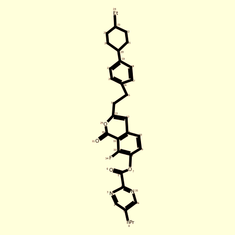 CCCc1cnc(C(=O)Oc2ccc3cc(CCc4ccc(C5CCC(CC)CC5)cc4)oc(=O)c3c2F)nc1